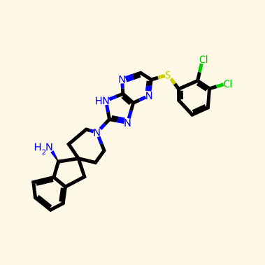 N[C@@H]1c2ccccc2CC12CCN(c1nc3nc(Sc4cccc(Cl)c4Cl)cnc3[nH]1)CC2